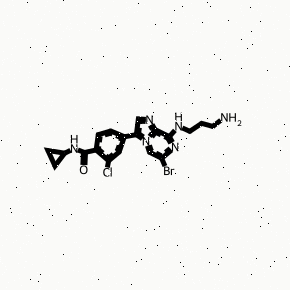 NCCCNc1nc(Br)cn2c(-c3ccc(C(=O)NC4CC4)c(Cl)c3)cnc12